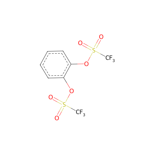 O=S(=O)(Oc1ccccc1OS(=O)(=O)C(F)(F)F)C(F)(F)F